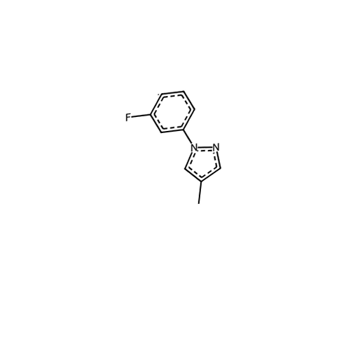 Cc1cnn(-c2cc[c]c(F)c2)c1